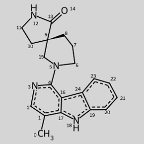 Cc1cnc(N2CCC[C@]3(CCNC3=O)C2)c2c1[nH]c1ccccc12